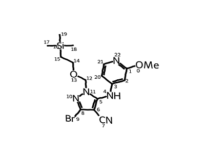 COc1cc(Nc2c(C#N)c(Br)nn2COCC[Si](C)(C)C)ccn1